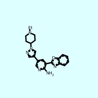 CCN1CCC(n2cc(-c3cnc(N)c(-c4nc5ccccc5o4)c3)cn2)CC1